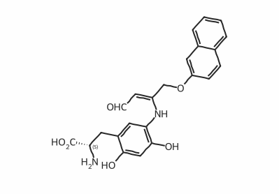 N[C@@H](Cc1cc(NC(=CC=O)COc2ccc3ccccc3c2)c(O)cc1O)C(=O)O